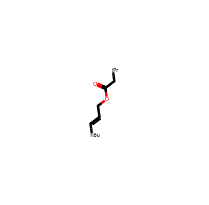 CCCCC=CCOC(=O)CC(C)C